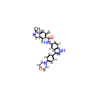 Cn1ncc2c(F)c(C(=O)Nc3ccc4[nH]nc(-c5ccc(N6CCOCC6)cc5)c4c3)c(F)cc21